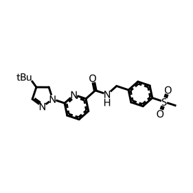 CC(C)(C)C1C=NN(c2cccc(C(=O)NCc3ccc(S(C)(=O)=O)cc3)n2)C1